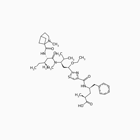 CCO[C@H](C[C@H](C(C)C)N(C)C(=O)[C@@H](NC(=O)C12CC(CCN1C)C2)[C@@H](C)CC)c1nc(C(=O)N[C@@H](Cc2ccccc2)C[C@H](C)C(=O)O)cs1